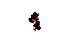 C1=C(Cc2ccccc2N(Cc2ccc(-c3ccc4c(-c5cccc6ccccc56)c5ccccc5c(-c5cccc6ccccc56)c4c3)cc2)c2ccccc2)C1